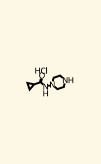 Cl.O=C(NN1CCNCC1)C1CC1